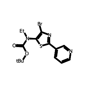 CCN(C(=O)OC(C)(C)C)c1sc(-c2cccnc2)nc1Br